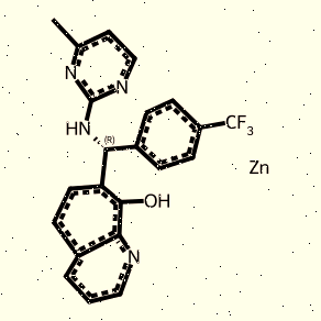 Cc1ccnc(N[C@H](c2ccc(C(F)(F)F)cc2)c2ccc3cccnc3c2O)n1.[Zn]